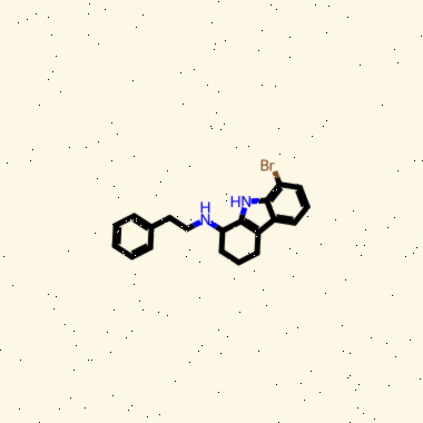 Brc1cccc2c3c([nH]c12)C(NCCc1ccccc1)CCC3